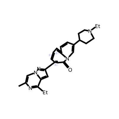 CCc1nc(C)cn2nc(C3=C\C(=O)N4C=C(C5CCN(CC)CC5)C=C\C4=C/C=C/3)cc12